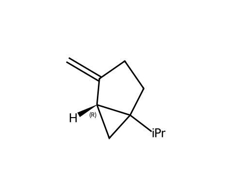 C=C1CCC2(C(C)C)C[C@H]12